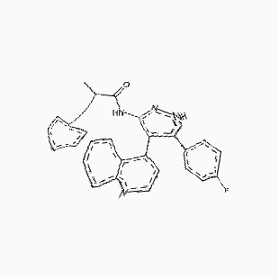 CC(C(=O)Nc1n[nH]c(-c2ccc(F)cc2)c1-c1ccnc2ccccc12)c1ccccc1